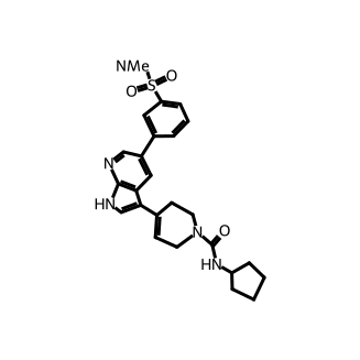 CNS(=O)(=O)c1cccc(-c2cnc3[nH]cc(C4=CCN(C(=O)NC5CCCC5)CC4)c3c2)c1